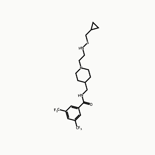 O=C(NCC1CCN(CCNSCC2CC2)CC1)c1cc(C(F)(F)F)cc(C(F)(F)F)c1